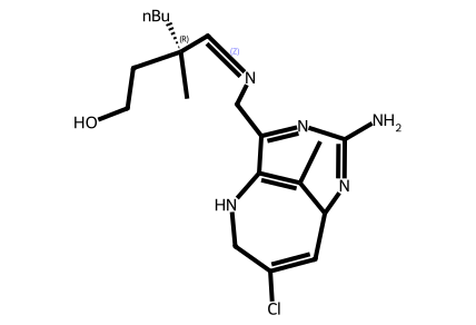 CCCC[C@@](C)(/C=N\CC1=NC(N)=NC2C=C(Cl)CNC1=C2C)CCO